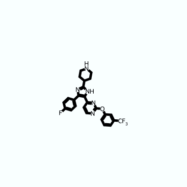 Fc1ccc(-c2nc(C3CCNCC3)[nH]c2-c2ccnc(Oc3cccc(C(F)(F)F)c3)n2)cc1